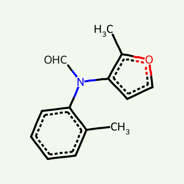 Cc1ccccc1N(C=O)c1ccoc1C